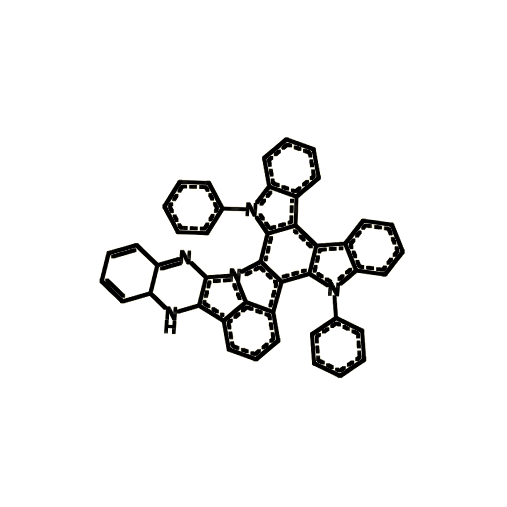 C1=CC2=Nc3c(c4cccc5c6c7c(c8ccccc8n7-c7ccccc7)c7c8ccccc8n(-c8ccccc8)c7c6n3c45)NC2C=C1